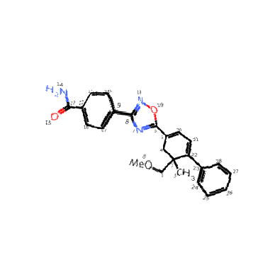 COCC1(C)CC(c2nc(-c3ccc(C(N)=O)cc3)no2)=CC=C1c1ccccc1